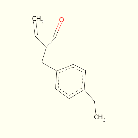 C=CC(C=O)Cc1ccc(CC)cc1